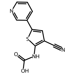 N#Cc1cc(-c2cccnc2)sc1NC(=O)O